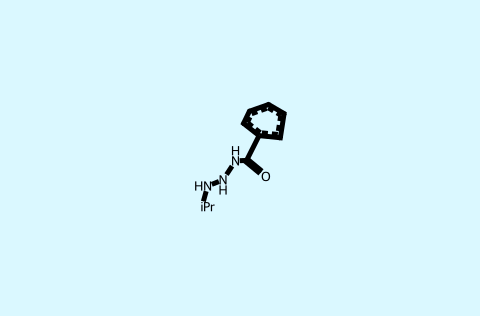 CC(C)NNNC(=O)c1ccccc1